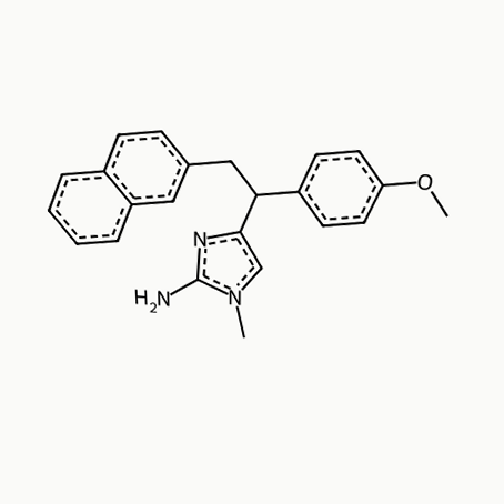 COc1ccc(C(Cc2ccc3ccccc3c2)c2cn(C)c(N)n2)cc1